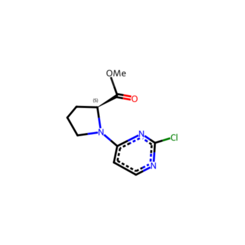 COC(=O)[C@@H]1CCCN1c1ccnc(Cl)n1